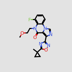 COCCn1c(=O)c2c(-c3noc(C4(C)CC4)n3)ncn2c2cccc(F)c21